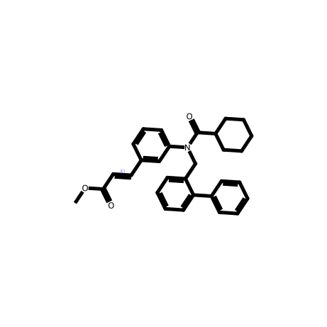 COC(=O)/C=C/c1cccc(N(Cc2ccccc2-c2ccccc2)C(=O)C2CCCCC2)c1